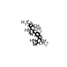 CC1=CN=CNC1c1c(C)sc2ccc(C3=C(C)C(c4cc(C)sc4C)NC=N3)cc12